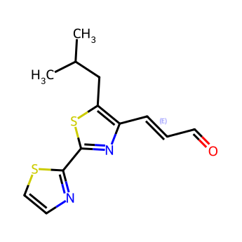 CC(C)Cc1sc(-c2nccs2)nc1/C=C/C=O